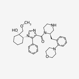 COC[C@]1(O)CCCC[C@H]1n1cnc(C(=O)N2CCNC[C@H]2Cc2ccccc2N2CCOCC2)c1-c1ccccc1